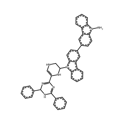 Nn1c2ccccc2c2cc(-c3ccc4c(c3)c3ccccc3n4C3CNC=C(C4=NC(c5ccccc5)NC(c5ccccc5)=N4)N3)ccc21